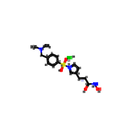 CN(C)Cc1ccc(S(=O)(=O)n2ccc(/C=C/C(=O)NO)c2)cc1.Cl